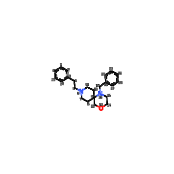 c1ccc(CCN2CCC3(CC2)COCCN3Cc2ccccc2)cc1